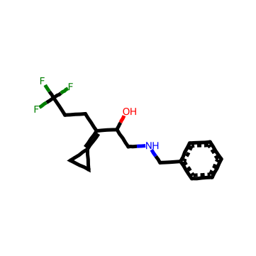 OC(CNCc1ccccc1)C(CCC(F)(F)F)=C1CC1